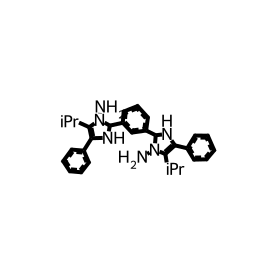 CC(C)C1=C(c2ccccc2)NC(c2cccc(C3NC(c4ccccc4)=C(C(C)C)N3N)c2)N1N